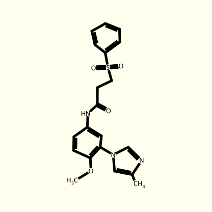 COc1ccc(NC(=O)CCS(=O)(=O)c2ccccc2)cc1-n1cnc(C)c1